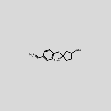 C=Cc1ccc(OC2(C)CCC(C(C)(C)C)C2)cc1